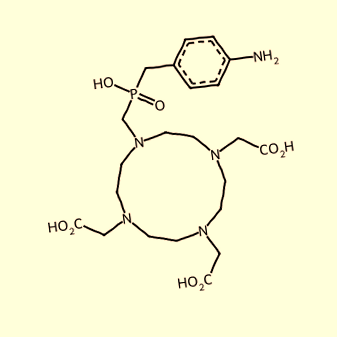 Nc1ccc(CP(=O)(O)CN2CCN(CC(=O)O)CCN(CC(=O)O)CCN(CC(=O)O)CC2)cc1